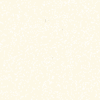 CC(C)C1c2ccccc2C2(c3ccccc3)OOC1(c1ccccc1)O2